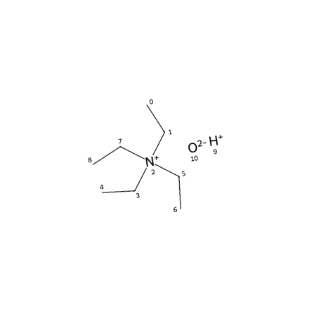 CC[N+](CC)(CC)CC.[H+].[O-2]